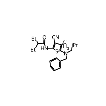 CCC(CC)C(=O)Nc1sc(N(Cc2ccccc2)CC(C)C)c(C)c1C#N